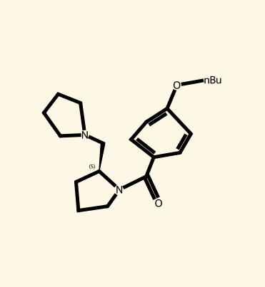 CCCCOc1ccc(C(=O)N2CCC[C@H]2CN2CCCC2)cc1